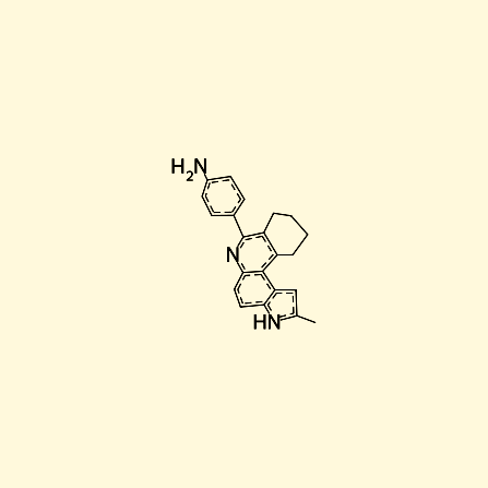 Cc1cc2c(ccc3nc(-c4ccc(N)cc4)c4c(c32)CCCC4)[nH]1